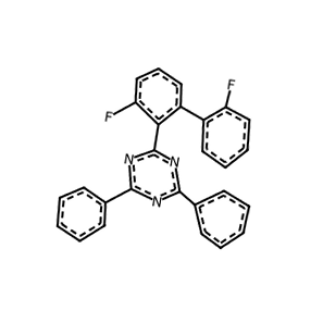 Fc1ccccc1-c1cccc(F)c1-c1nc(-c2ccccc2)nc(-c2ccccc2)n1